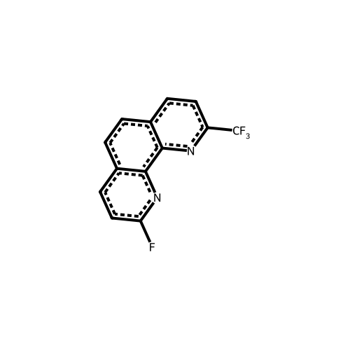 Fc1ccc2ccc3ccc(C(F)(F)F)nc3c2n1